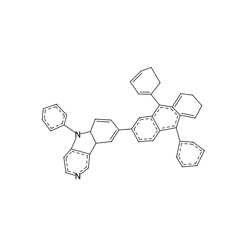 C1=CCCC(c2c3c(c(-c4ccccc4)c4ccc(C5=CC6c7cnccc7N(c7ccccc7)C6C=C5)cc24)=CCCC=3)=C1